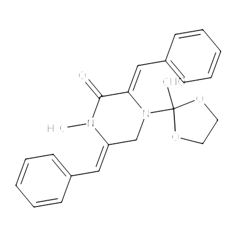 CN1C(=O)C(=Cc2ccccc2)N(C2(C=O)OCCO2)CC1=Cc1ccccc1